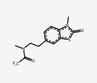 CN(CCc1ccc2c(c1)sc(=O)n2C)C(=O)C(F)(F)F